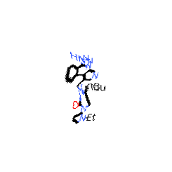 CCCCc1cn(-c2cccn2CC)c(=O)n1Cc1cnccc1-c1ccccc1-c1nnn[nH]1